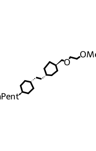 CCCCC[C@H]1CC[C@H](CC[C@H]2CC[C@H](COCCOC)CC2)CC1